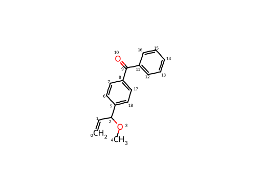 C=CC(OC)c1ccc(C(=O)c2ccccc2)cc1